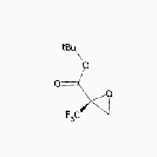 CC(C)(C)OC(=O)[C@@]1(C(F)(F)F)CO1